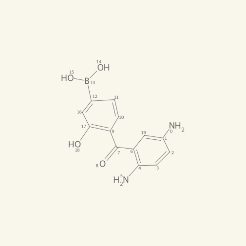 Nc1ccc(N)c(C(=O)c2ccc(B(O)O)cc2O)c1